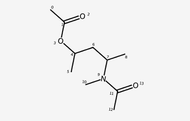 CC(=O)OC(C)CC(C)N(C)C(C)=O